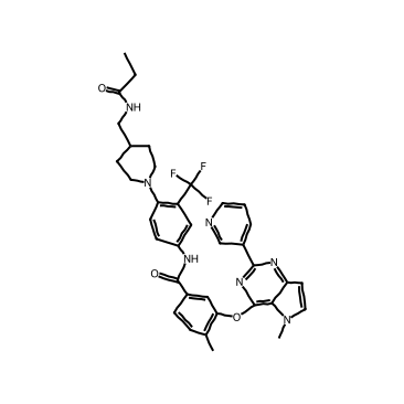 CCC(=O)NCC1CCN(c2ccc(NC(=O)c3ccc(C)c(Oc4nc(-c5cccnc5)nc5ccn(C)c45)c3)cc2C(F)(F)F)CC1